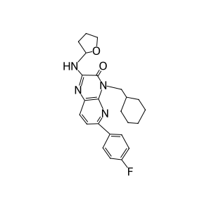 O=c1c(NC2CCCO2)nc2ccc(-c3ccc(F)cc3)nc2n1CC1CCCCC1